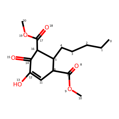 CCCCCC1C(C(=O)OC)C=C(O)C(=O)C1C(=O)OC